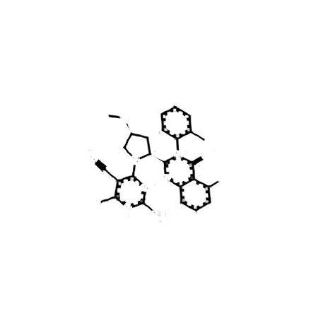 CO[C@H]1C[C@@H](c2nc3cccc(Cl)c3c(=O)n2-c2ccccc2C)N(c2nc(N)nc(C)c2C#N)C1